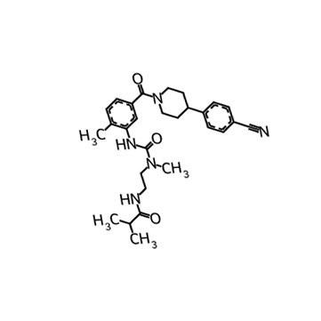 Cc1ccc(C(=O)N2CCC(c3ccc(C#N)cc3)CC2)cc1NC(=O)N(C)CCNC(=O)C(C)C